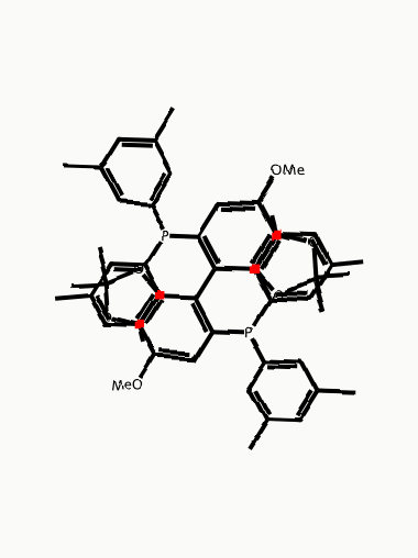 COc1cc(P(c2cc(C)cc(C)c2)c2cc(C)cc(C)c2)c(-c2c(P(c3cc(C)cc(C)c3)c3cc(C)cc(C)c3)cc(OC)c3c2OC(C)(C)O3)c2c1OC(C)(C)O2